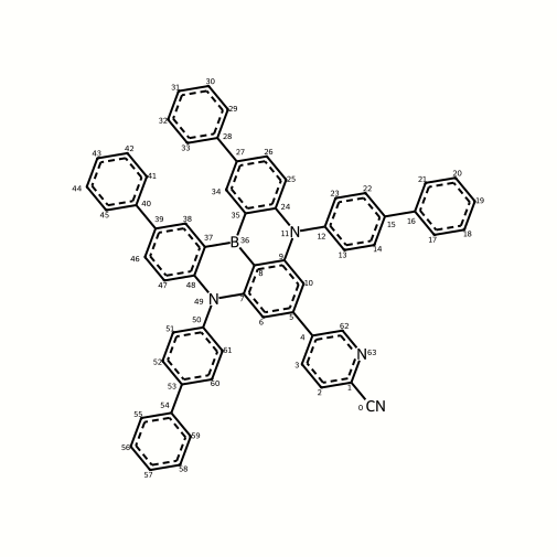 N#Cc1ccc(-c2cc3c4c(c2)N(c2ccc(-c5ccccc5)cc2)c2ccc(-c5ccccc5)cc2B4c2cc(-c4ccccc4)ccc2N3c2ccc(-c3ccccc3)cc2)cn1